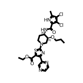 CCCO[C@H]1CN(c2nc(-c3cnccn3)c(C(=O)OCC)s2)CC[C@H]1NC(=O)c1[nH]c(C)c(Cl)c1Cl